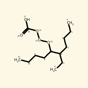 CCCCC(CC)C(CCCC)OOOC(=O)O